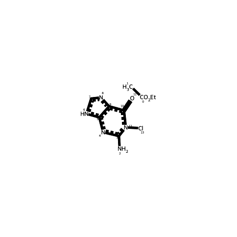 CCOC(C)=O.Nc1nc2[nH]cnc2c(=O)n1Cl